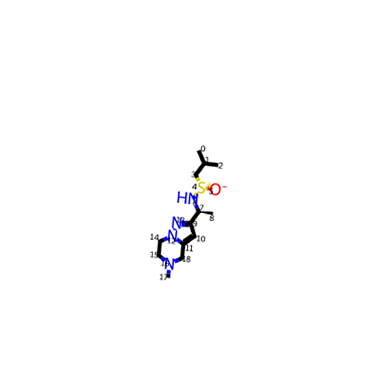 CC(C)C[S+]([O-])N[C@@H](C)c1cc2n(n1)CCN(C)C2